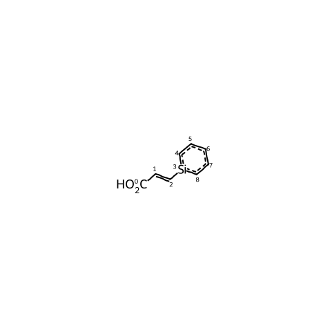 O=C(O)C=C[si]1ccccc1